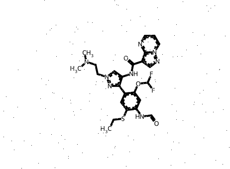 CCSc1cc(-c2nn(CCN(C)C)cc2NC(=O)c2cnn3cccnc23)c(OC(F)F)cc1NC=O